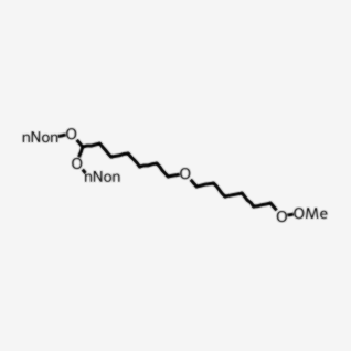 CCCCCCCCCOC(CCCCCCOCCCCCCOOC)OCCCCCCCCC